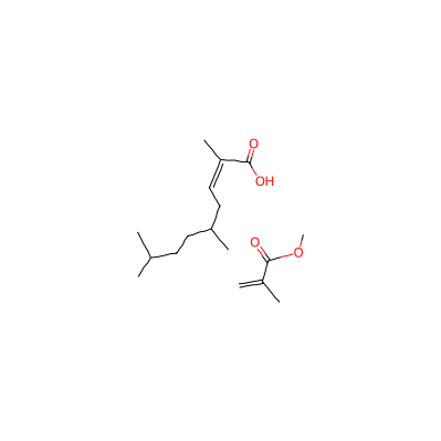 C=C(C)C(=O)OC.CC(=CCC(C)CCC(C)C)C(=O)O